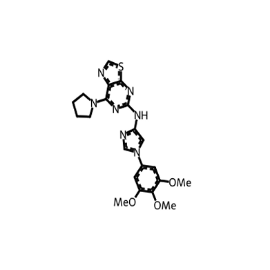 COc1cc(-n2cnc(Nc3nc(N4CCCC4)c4ncsc4n3)c2)cc(OC)c1OC